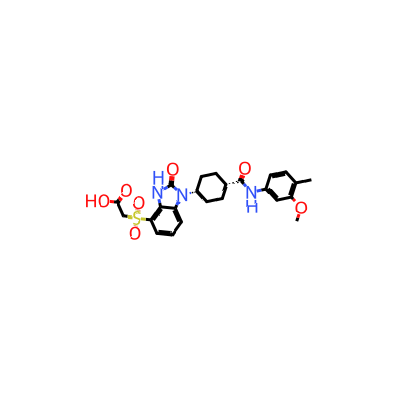 COc1cc(NC(=O)[C@H]2CC[C@@H](n3c(=O)[nH]c4c(S(=O)(=O)CC(=O)O)cccc43)CC2)ccc1C